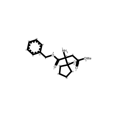 COC(=O)CC(N)(C(=O)OCc1ccccc1)C1(C)CCCC1